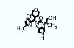 CCn1cc(C)nc1[C@@H](C1CCOCC1)N(C[C@H]1CCNC1)C(=O)N[C@@H](C)CO